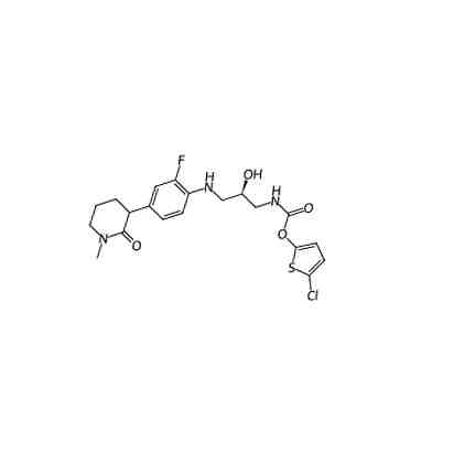 CN1CCCC(c2ccc(NC[C@@H](O)CNC(=O)Oc3ccc(Cl)s3)c(F)c2)C1=O